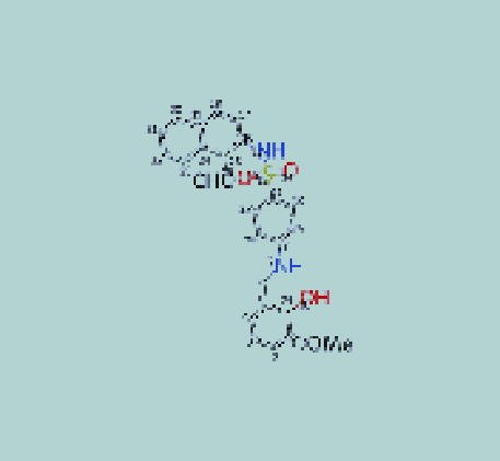 COc1cccc(CNc2ccc(S(=O)(=O)Nc3ccc4ccccc4c3C=O)cc2)c1O